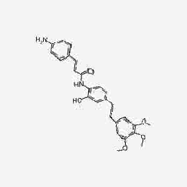 COc1cc(/C=C/c2ccc(NC(=O)/C=C/c3ccc(N)cc3)c(O)c2)cc(OC)c1OC